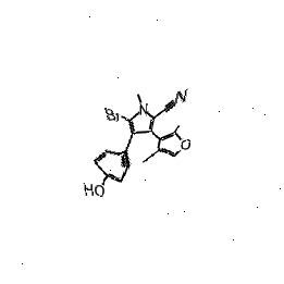 Cc1coc(C)c1-c1c(-c2ccc(O)cc2)c(Br)n(C)c1C#N